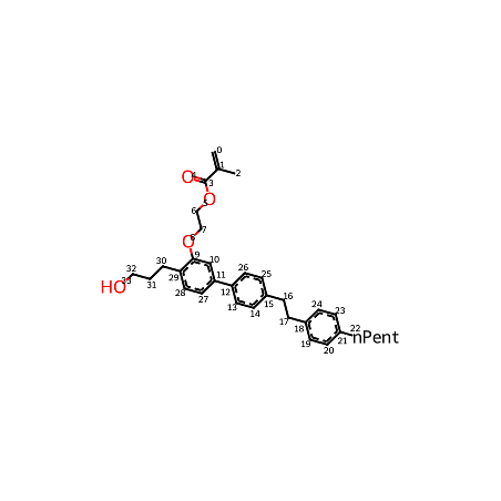 C=C(C)C(=O)OCCOc1cc(-c2ccc(CCc3ccc(CCCCC)cc3)cc2)ccc1CCCO